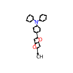 C#Cc1cc2oc(-c3ccc(N(c4ccccc4)c4ccccc4)cc3)cc2o1